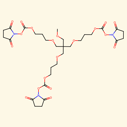 COCC(COCCCOC(=O)ON1C(=O)CCC1=O)(COCCCOC(=O)ON1C(=O)CCC1=O)COCCCOC(=O)ON1C(=O)CCC1=O